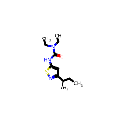 CCC(C)c1cc(NC(=O)N(CC)CC)sn1